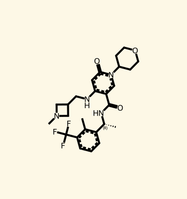 Cc1c([C@@H](C)NC(=O)c2cn(C3CCOCC3)c(=O)cc2NCC2CN(C)C2)cccc1C(F)(F)F